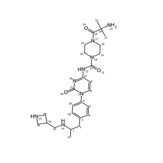 CC(Cc1ccc(-n2ccc(NC(=O)N3CCN(C(=O)C(C)(C)N)CC3)nc2=O)cc1)NCC1CNC1